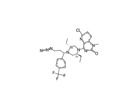 CC[C@H]1CN(C(CCN=[N+]=[N-])c2ccc(C(F)(F)F)cc2)[C@H](CC)CN1c1nc(=O)n(C)c2ccc(Cl)nc12